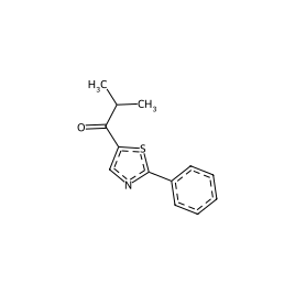 CC(C)C(=O)c1cnc(-c2ccccc2)s1